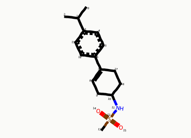 CC(C)c1ccc(C2=CCC(NS(C)(=O)=O)CC2)cc1